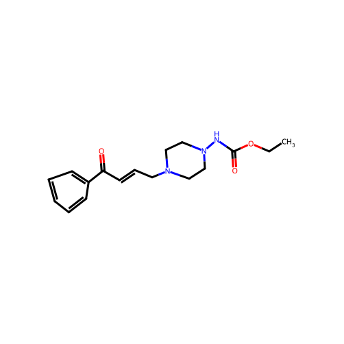 CCOC(=O)NN1CCN(CC=CC(=O)c2ccccc2)CC1